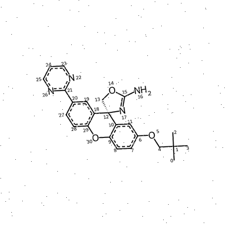 CC(C)(C)COc1ccc2c(c1)[C@@]1(COC(N)=N1)c1cc(-c3ncccn3)ccc1O2